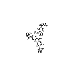 O=C(O)Cc1ccc(OCC=C(c2ccc(-c3ccoc3)cc2)c2ccc(-c3ccoc3)cc2)c(Br)c1